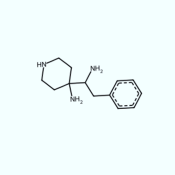 NC(Cc1ccccc1)C1(N)CCNCC1